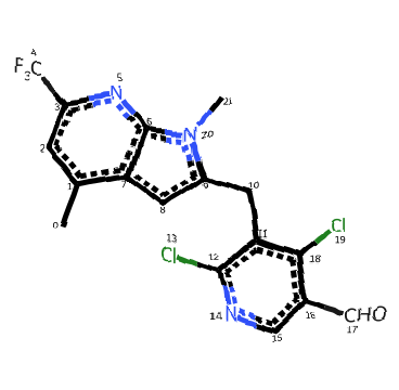 Cc1cc(C(F)(F)F)nc2c1cc(Cc1c(Cl)ncc(C=O)c1Cl)n2C